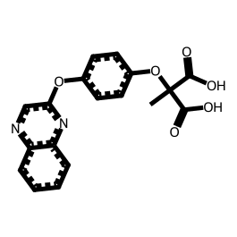 CC(Oc1ccc(Oc2cnc3ccccc3n2)cc1)(C(=O)O)C(=O)O